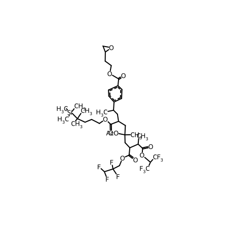 CC(=O)OC(C)(CC(CC(C)c1ccc(C(=O)OCCC2CO2)cc1)C(=O)OCCCC(C)(C)[Si](C)(C)C)CC(C(=O)OCC(F)(F)C(F)F)C(C)C(=O)OC(C(F)(F)F)C(F)(F)F